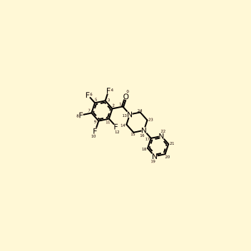 O=C(c1c(F)c(F)c(F)c(F)c1F)N1CCN(c2cnccn2)CC1